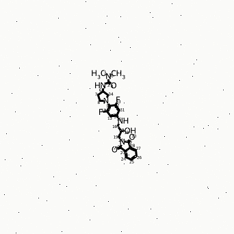 CN(C)C(=O)NC1CCN(c2c(F)cc(NC[C@@H](O)CN3C(=O)c4ccccc4C3=O)cc2F)C1